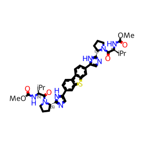 COC(=O)N[C@H](C(=O)N1CCC[C@H]1c1ncc(-c2ccc3c(c2)sc2cc(-c4cnc([C@@H]5CCCN5C(=O)[C@@H](NC(=O)OC)C(C)C)[nH]4)ccc23)[nH]1)C(C)C